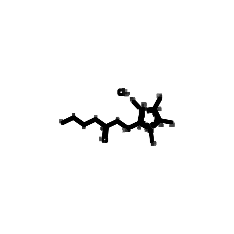 CCCCC(=O)CSc1n(C)c(C)c(C)[n+]1C.[Cl-]